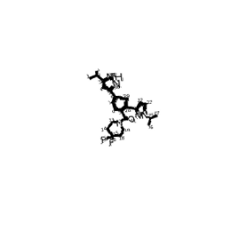 CC(C)c1cc(-c2ccc(C(=O)N3CCC(F)(F)CC3)c(-c3ccn(C(C)C)n3)c2)n[nH]1